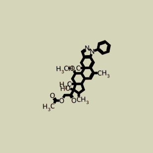 COC1CC2(C)C(CC(C)C2(O)C(=O)COC(C)=O)C2C=C(C)C3=Cc4c(cnn4-c4ccccc4)CC3(C)C12